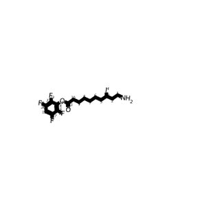 NCCC(I)CCCCCCC(=O)Oc1c(F)c(F)cc(F)c1F